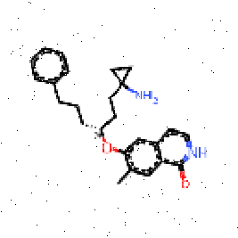 Cc1cc2c(=O)[nH]ccc2cc1O[C@H](CCCc1ccccc1)CCC1(N)CC1